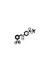 CC(C)(C)OC(=O)N1CCC(NCc2cccc([N+](=O)[O-])c2)CC1